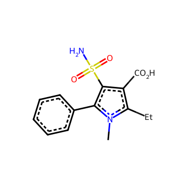 CCc1c(C(=O)O)c(S(N)(=O)=O)c(-c2ccccc2)n1C